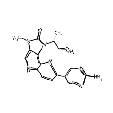 C[C@H](CO)n1c(=O)n(C)c2cnc3ccc(-c4cnc(N)nc4)nc3c21